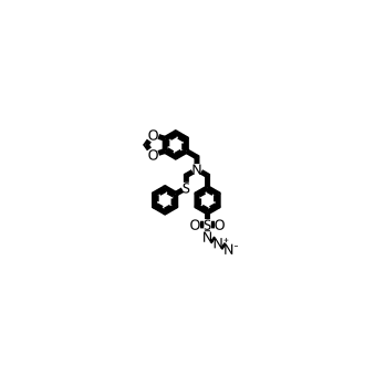 [N-]=[N+]=NS(=O)(=O)c1ccc(CN(CSc2ccccc2)Cc2ccc3c(c2)OCO3)cc1